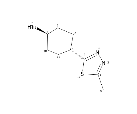 Cc1nnc([C@H]2CC[C@H](C(C)(C)C)CC2)s1